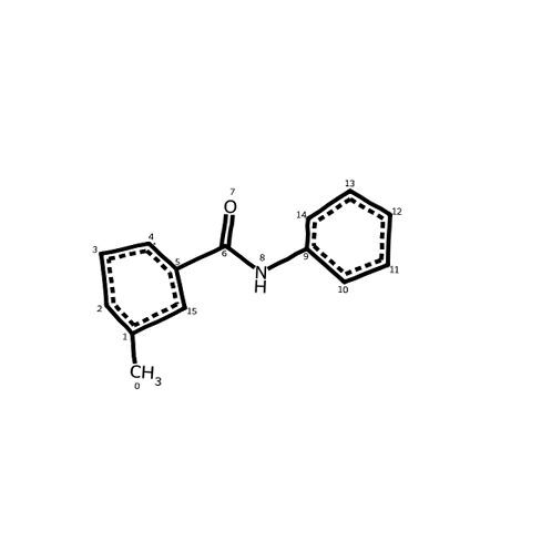 Cc1cc[c]c(C(=O)Nc2ccccc2)c1